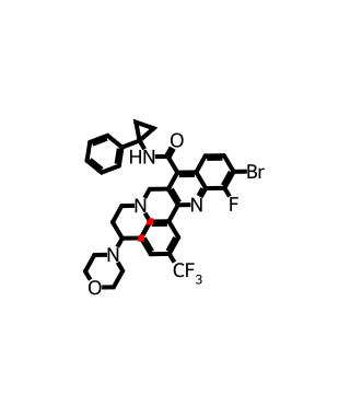 O=C(NC1(c2ccccc2)CC1)c1c(CN2CCC(N3CCOCC3)CC2)c(-c2cccc(C(F)(F)F)c2)nc2c(F)c(Br)ccc12